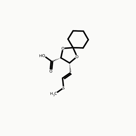 CSC=C[C@H]1OC2(CCCCC2)O[C@H]1C(=O)O